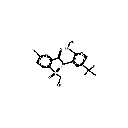 CCS(=O)(=O)c1ccc(Cl)nc1C(=O)Nc1cc(C(F)(F)F)cnc1NC